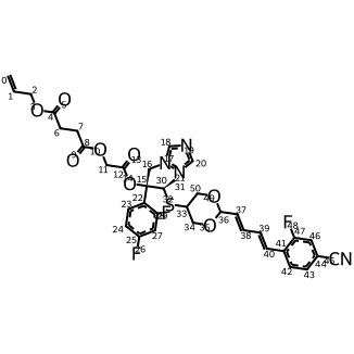 C=CCOC(=O)CCC(=O)OCC(=O)O[C@@](Cn1cncn1)(c1ccc(F)cc1F)[C@@H](C)SC1COC(C=CC=Cc2ccc(C#N)cc2F)OC1